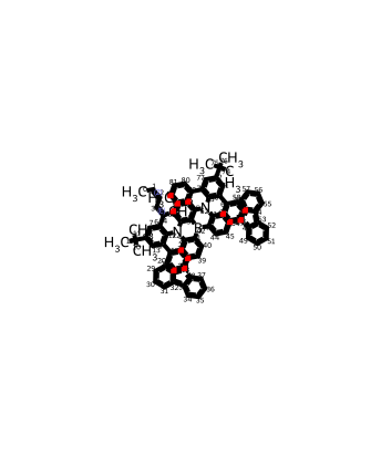 C/C=C\C=C(/C)c1cc(C(C)(C)C)cc(-c2ccccc2)c1N1c2cc(-n3c4ccccc4c4ccccc43)ccc2B2c3ccc(-n4c5ccccc5c5ccccc54)cc3N(c3c(-c4ccccc4)cc(C(C)(C)C)cc3-c3ccccc3)c3cc(C)cc1c32